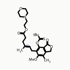 COc1c(C)c2c(c(OC(=S)C(C)(C)C)c1C/C=C(\C)CCC(=O)OCCN1CCOCC1)C(=O)OC2